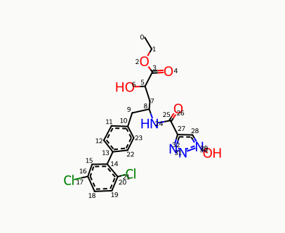 CCOC(=O)C(O)CC(Cc1ccc(-c2cc(Cl)ccc2Cl)cc1)NC(=O)c1cn(O)nn1